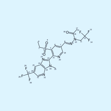 CCS(=O)(=O)c1cc(/C=N/N(CC(F)(F)F)C(C)=O)cnc1-c1nc2cc(C(F)(F)F)cnc2n1C